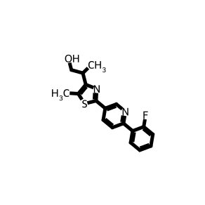 Cc1sc(-c2ccc(-c3ccccc3F)nc2)nc1C(C)CO